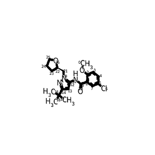 COc1ccc(Cl)cc1C(=O)Nc1cc(C(C)(C)C)nn1C[C@H]1CCCO1